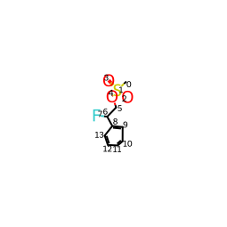 CS(=O)(=O)OCC(F)c1ccccc1